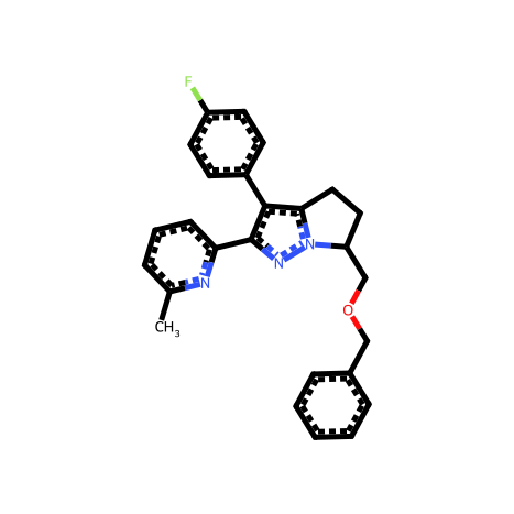 Cc1cccc(-c2nn3c(c2-c2ccc(F)cc2)CCC3COCc2ccccc2)n1